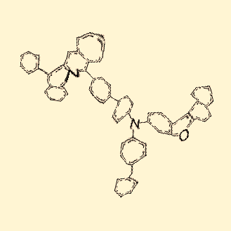 c1ccc(-c2ccc(N(c3ccc(-c4ccc(-c5c6ccccc6cc6c(-c7ccccc7)c7ccccc7n56)cc4)cc3)c3ccc4c(c3)oc3ccc5ccccc5c34)cc2)cc1